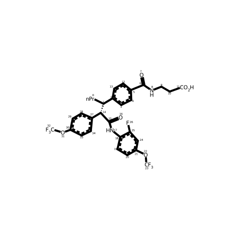 CCCC(c1ccc(C(=O)NCCC(=O)O)cc1)[C@H](C(=O)Nc1ccc(OC(F)(F)F)cc1F)c1ccc(OC(F)(F)F)cc1